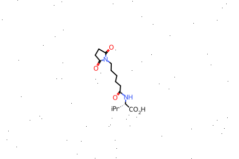 CC(C)[C@H](NC(=O)CCCCCN1C(=O)CCC1=O)C(=O)O